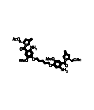 C=C1C[C@@H](COC(C)=O)N(C(=O)c2cc(OC)c(OCCCCCOc3cc(N)c(C(=O)N4CC(=C)C[C@H]4COC(C)=O)cc3OC)cc2N)C1